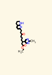 CCOC(=O)CC(C/C=C/C(=O)CCc1ccc2c(n1)NCCC2)c1cnc(C)nc1